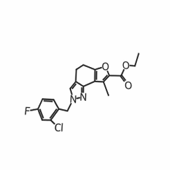 CCOC(=O)c1oc2c(c1C)-c1nn(Cc3ccc(F)cc3Cl)cc1CC2